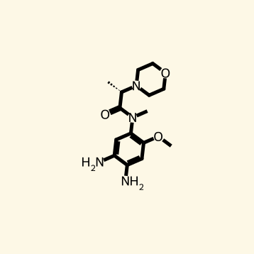 COc1cc(N)c(N)cc1N(C)C(=O)[C@H](C)N1CCOCC1